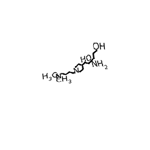 CN(C)CCCCN1CCC(CCC(N)(O)CCCO)CC1